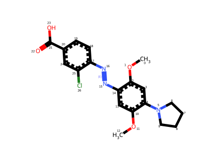 COc1cc(N2CCCC2)c(OC)cc1/N=N/c1ccc(C(=O)O)cc1Cl